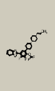 CCC[C@H]1CC[C@H](C2CCC(c3cc(-c4nc5ccccc5o4)c(F)c(F)c3OC(F)F)CC2)CC1